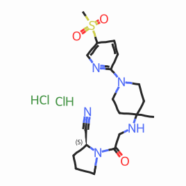 CC1(NCC(=O)N2CCC[C@H]2C#N)CCN(c2ccc(S(C)(=O)=O)cn2)CC1.Cl.Cl